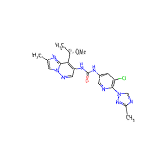 CO[C@@H](C)c1c(NC(=O)Nc2cnc(-n3cnc(C)n3)c(Cl)c2)cnn2cc(C)nc12